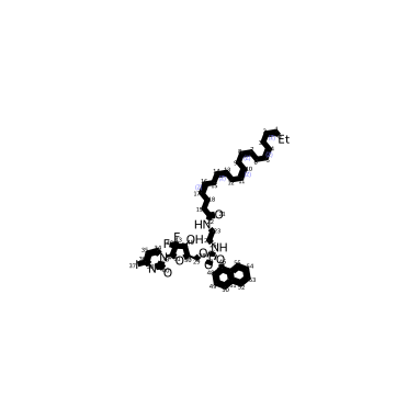 CC/C=C\C/C=C\C/C=C\C/C=C\C/C=C\C/C=C\CCC(=O)NCCNP(=O)(OC[C@H]1O[C@@H](n2ccc(I)nc2=O)C(F)(F)[C@@H]1O)Oc1cccc2ccccc12